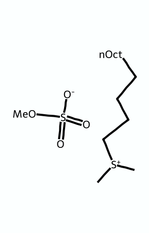 CCCCCCCCCCCC[S+](C)C.COS(=O)(=O)[O-]